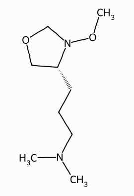 CON1COC[C@H]1CCCN(C)C